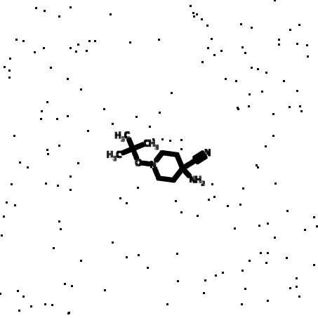 CC(C)(C)ON1CCC(N)(C#N)CC1